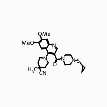 COc1cc2ncc(C(=O)N3CCN(SC4CC4)CC3)c(N3CCC(C)(C#N)CC3)c2cc1OC